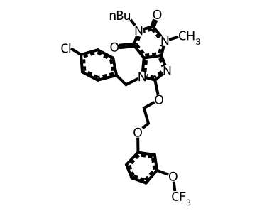 CCCCn1c(=O)c2c(nc(OCCOc3cccc(OC(F)(F)F)c3)n2Cc2ccc(Cl)cc2)n(C)c1=O